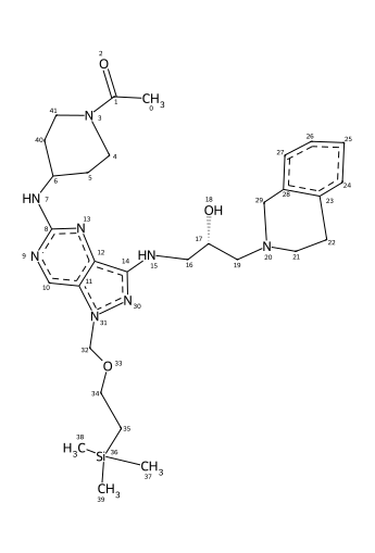 CC(=O)N1CCC(Nc2ncc3c(n2)c(NC[C@H](O)CN2CCc4ccccc4C2)nn3COCC[Si](C)(C)C)CC1